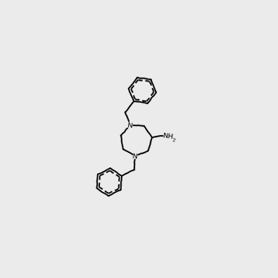 NC1CN(Cc2ccccc2)CCN(Cc2ccccc2)C1